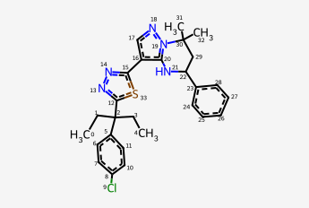 CCC(CC)(c1ccc(Cl)cc1)c1nnc(-c2cnn3c2NC(c2ccccc2)CC3(C)C)s1